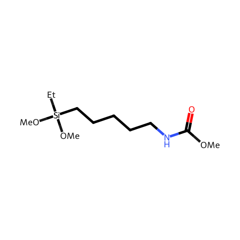 CC[Si](CCCCCNC(=O)OC)(OC)OC